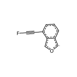 FC#Cc1cccc2[c]occ12